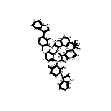 Cc1ccc(-c2csc3ccccc23)c(C)c1N1c2cccc3c2B(c2c1sc1ccc(C(C)(C)C)cc21)c1c(sc2ccc(C(C)(C)C)cc12)N3c1c(C)ccc(-c2csc3ccccc23)c1C